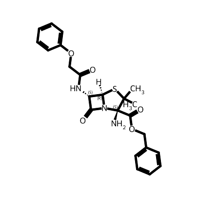 CC1(C)S[C@@H]2[C@@H](NC(=O)COc3ccccc3)C(=O)N2[C@@]1(N)C(=O)OCc1ccccc1